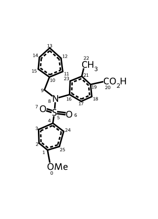 COc1ccc(S(=O)(=O)N(Cc2ccccc2)c2ccc(C(=O)O)c(C)c2)cc1